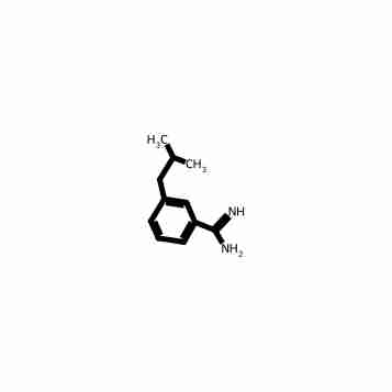 CC(C)Cc1[c]c(C(=N)N)ccc1